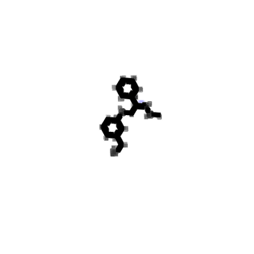 CO/N=C(\COc1cccc(CBr)c1)c1ccccc1